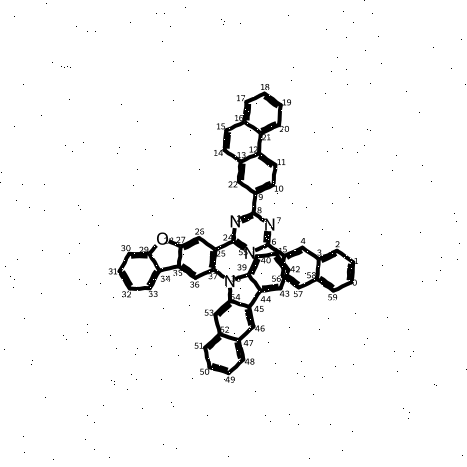 c1ccc2cc(-c3nc(-c4ccc5c(ccc6ccccc65)c4)nc(-c4cc5oc6ccccc6c5cc4-n4c5ccccc5c5cc6ccccc6cc54)n3)ccc2c1